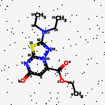 CCOC(=O)c1cc(=O)nc2sc(N(CC)CC)nn12